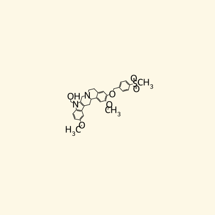 COc1ccc2c(c1)c1c(n2CO)CN2CCc3cc(OCc4ccc(S(C)(=O)=O)cc4)c(OC)cc3C2C1